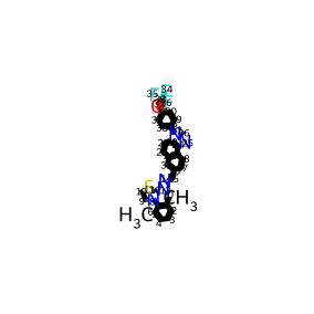 Cc1cccc(C)c1N1CCSC1=NN=Cc1ccc2c(ccc3c2ncn3-c2ccc(OC(F)(F)F)cc2)c1